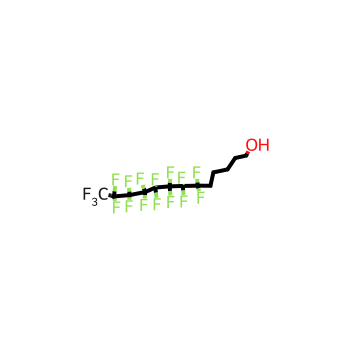 OCCCCCC(F)(F)C(F)(F)C(F)(F)C(F)(F)C(F)(F)C(F)(F)C(F)(F)C(F)(F)F